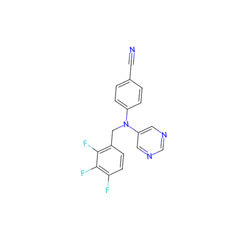 N#Cc1ccc(N(Cc2ccc(F)c(F)c2F)c2cncnc2)cc1